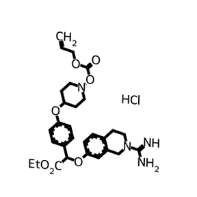 C=CCOC(=O)ON1CCC(Oc2ccc(C(Oc3ccc4c(c3)CN(C(=N)N)CC4)C(=O)OCC)cc2)CC1.Cl